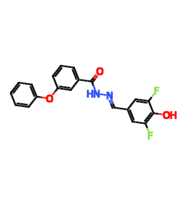 O=C(NN=Cc1cc(F)c(O)c(F)c1)c1cccc(Oc2ccccc2)c1